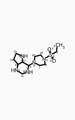 CCS(=O)(=O)N1CCN(C2NCNC3CCNC32)CC1